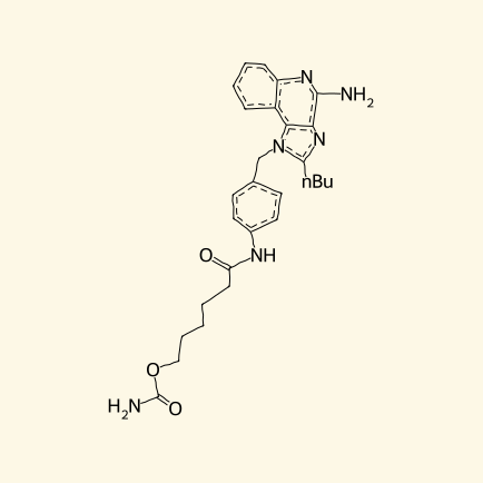 CCCCc1nc2c(N)nc3ccccc3c2n1Cc1ccc(NC(=O)CCCCCOC(N)=O)cc1